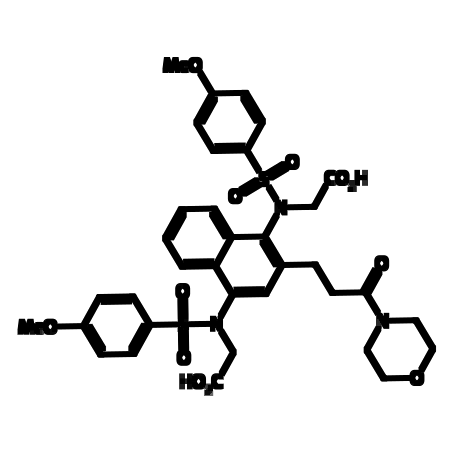 COc1ccc(S(=O)(=O)N(CC(=O)O)c2cc(CCC(=O)N3CCOCC3)c(N(CC(=O)O)S(=O)(=O)c3ccc(OC)cc3)c3ccccc23)cc1